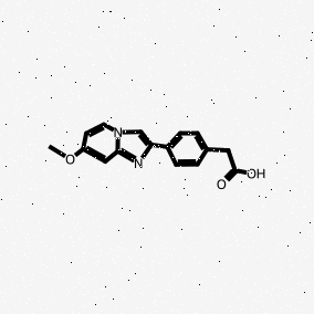 COc1ccn2cc(-c3ccc(CC(=O)O)cc3)nc2c1